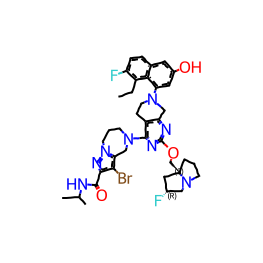 CCc1c(F)ccc2cc(O)cc(N3CCc4c(nc(OC[C@@]56CCCN5C[C@H](F)C6)nc4N4CCCn5nc(C(=O)NC(C)C)c(Br)c5C4)C3)c12